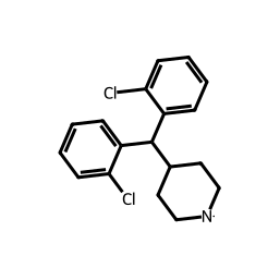 Clc1ccccc1C(c1ccccc1Cl)C1CC[N]CC1